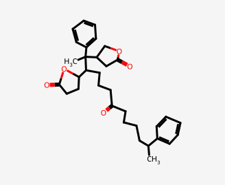 CC(CCCCC(=O)CCCC(C1CCC(=O)O1)C(C)(c1ccccc1)C1COC(=O)C1)c1ccccc1